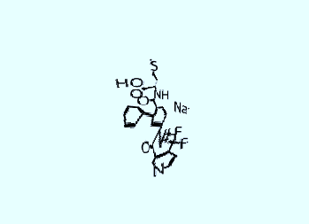 CSCC[C@H](NC(=O)c1ccc(NC(=O)c2cnccc2C(F)(F)F)cc1-c1ccccc1)C(=O)O.[Na]